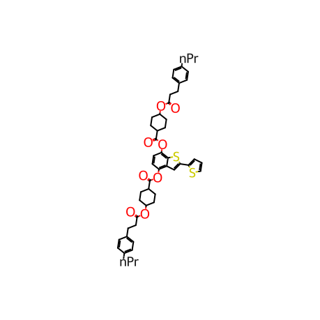 CCCc1ccc(CCC(=O)OC2CCC(C(=O)Oc3ccc(OC(=O)C4CCC(OC(=O)CCc5ccc(CCC)cc5)CC4)c4sc(-c5cccs5)cc34)CC2)cc1